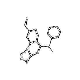 CN(c1ccccc1)c1nc2nncn2c2cc(C=O)ccc12